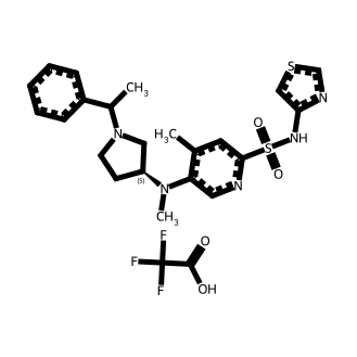 Cc1cc(S(=O)(=O)Nc2cscn2)ncc1N(C)[C@H]1CCN(C(C)c2ccccc2)C1.O=C(O)C(F)(F)F